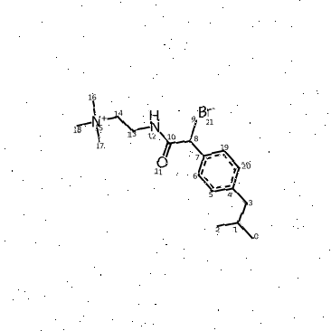 CC(C)Cc1ccc(C(C)C(=O)NCC[N+](C)(C)C)cc1.[Br-]